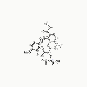 CC[C@@H](NC(=O)N1C/C(=N\O)NC[C@H](Cc2cc(Cl)ccc2OC)C1=O)c1ccc(C(=O)OC(C)(C)C)c([N+](=O)[O-])c1